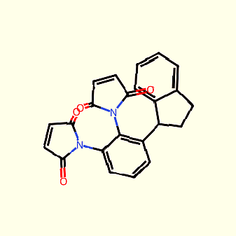 O=C1C=CC(=O)N1c1cccc(C2CCc3ccccc32)c1N1C(=O)C=CC1=O